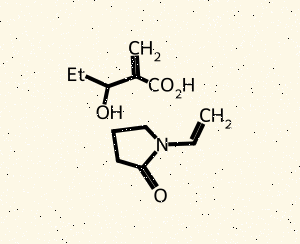 C=C(C(=O)O)C(O)CC.C=CN1CCCC1=O